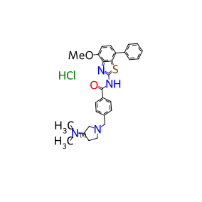 COc1ccc(-c2ccccc2)c2sc(NC(=O)c3ccc(CN4CC[C@@H](N(C)C)C4)cc3)nc12.Cl